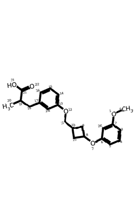 COc1cccc(OC2CC(COc3cccc(CC(C)C(=O)O)c3)C2)c1